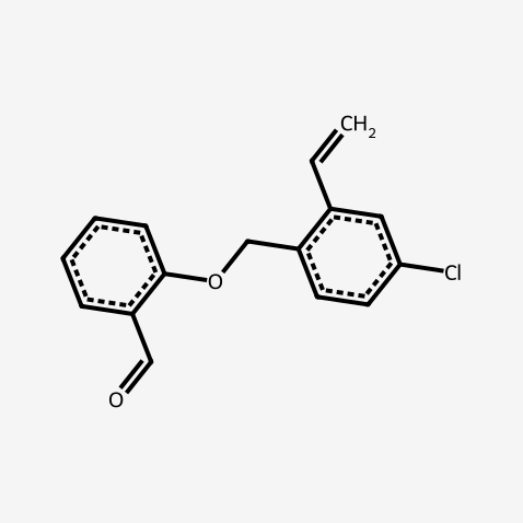 C=Cc1cc(Cl)ccc1COc1ccccc1C=O